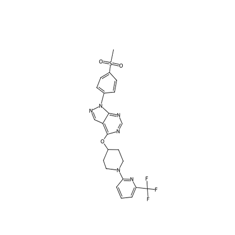 CS(=O)(=O)c1ccc(-n2ncc3c(OC4CCN(c5cccc(C(F)(F)F)n5)CC4)ncnc32)cc1